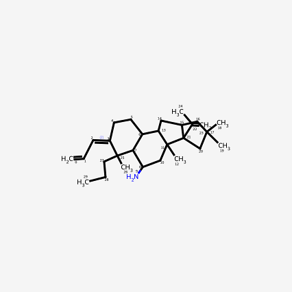 C=C/C=C1/CCC2C(C(N)CC3(C)C2CC2CC(C)(C)CC23C(=C)C)C1(C)CCC